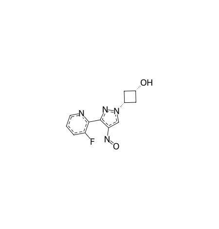 O=Nc1cn([C@H]2C[C@@H](O)C2)nc1-c1ncccc1F